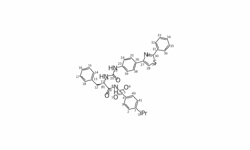 CC(C)c1ccc(S(=O)(=O)NC(=O)[C@@H](Cc2ccccc2)NC(=O)Nc2ccc(-c3csc(-c4ccccc4)n3)cc2)cc1